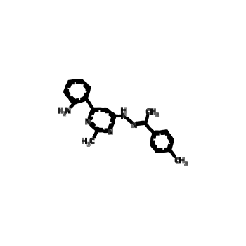 C/C(=N\Nc1cc(-c2ccccc2N)nc(C)n1)c1ccc(C)cc1